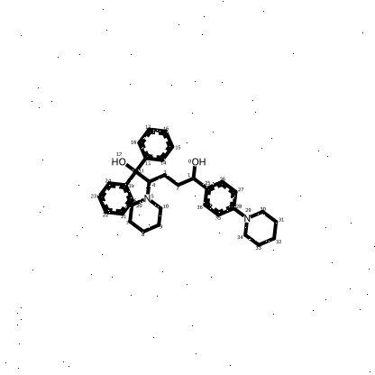 OC(CCC(N1CCCCC1)C(O)(c1ccccc1)c1ccccc1)c1ccc(N2CCCCC2)cc1